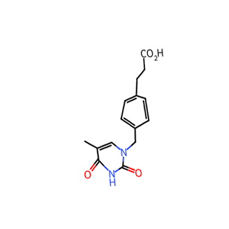 Cc1cn(Cc2ccc(CCC(=O)O)cc2)c(=O)[nH]c1=O